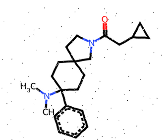 CN(C)C1(c2ccccc2)CCC2(CCN(C(=O)CC3CC3)C2)CC1